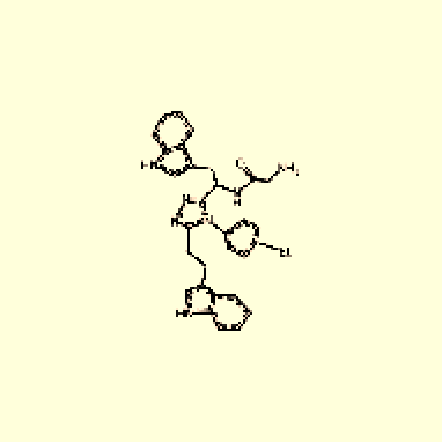 CCc1ccc(-n2c(CCc3c[nH]c4ccccc34)nnc2C(Cc2c[nH]c3ccccc23)NC(=O)CN)cc1